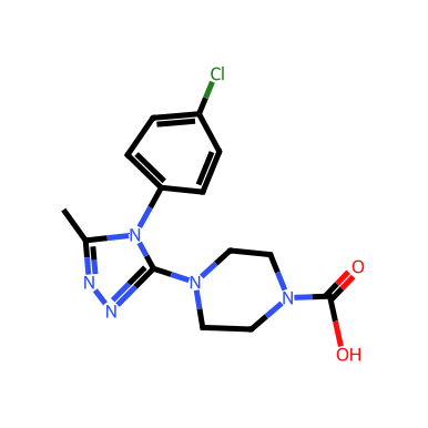 Cc1nnc(N2CCN(C(=O)O)CC2)n1-c1ccc(Cl)cc1